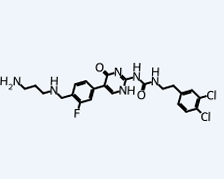 NCCCNCc1ccc(-c2c[nH]c(NC(=O)NCCc3ccc(Cl)c(Cl)c3)nc2=O)cc1F